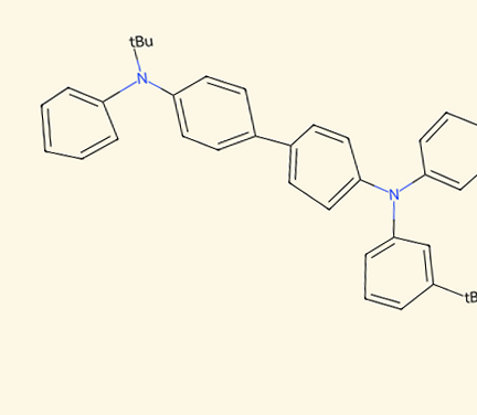 CC(C)(C)c1cccc(N(c2ccccc2)c2ccc(-c3ccc(N(c4ccccc4)C(C)(C)C)cc3)cc2)c1